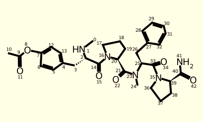 CN[C@@H](Cc1ccc(OC(C)=O)cc1)C(=O)N1CCC[C@H]1C(=O)N(C)[C@@H](Cc1ccccc1)C(=O)N1CCC[C@@H]1C(N)=O